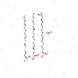 CC(C)CCCCCCCCCCCCCCC(=O)[O-].CC(C)CCCCCCCCCCCCCCC(=O)[O-].CC(C)CCCCCCCCCCCCCCC(=O)[O-].[Ga+3]